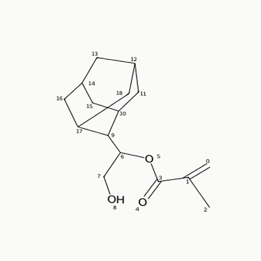 C=C(C)C(=O)OC(CO)C1C2CC3CC(C2)CC1C3